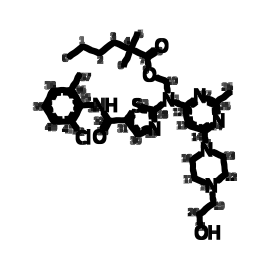 CCCCC(C)(C)C(=O)OCN(c1cc(N2CCN(CCO)CC2)nc(C)n1)c1ncc(C(=O)Nc2c(C)cccc2Cl)s1